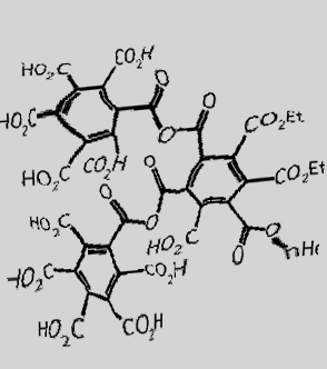 CCCCCCOC(=O)c1c(C(=O)O)c(C(=O)OC(=O)c2c(C(=O)O)c(C(=O)O)c(C(=O)O)c(C(=O)O)c2C(=O)O)c(C(=O)OC(=O)c2c(C(=O)O)c(C(=O)O)c(C(=O)O)c(C(=O)O)c2C(=O)O)c(C(=O)OCC)c1C(=O)OCC